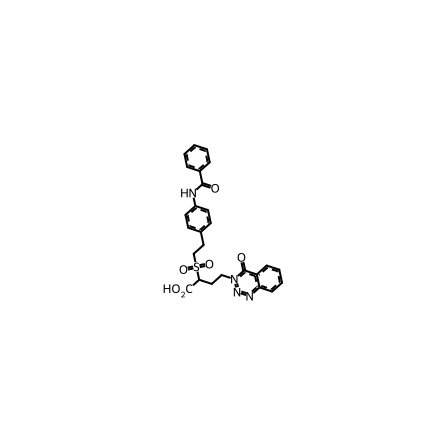 O=C(Nc1ccc(CCS(=O)(=O)C(CCn2nnc3ccccc3c2=O)C(=O)O)cc1)c1ccccc1